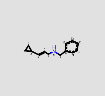 C(=C\C1CC1)/CNCc1ccccc1